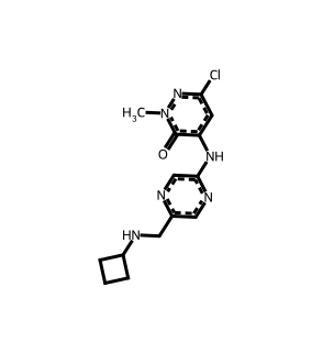 Cn1nc(Cl)cc(Nc2cnc(CNC3CCC3)cn2)c1=O